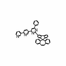 C1=Cc2ccccc2C2(c3ccccc31)c1ccccc1-c1cc(-c3nc(-c4ccccc4)cc(-c4ccc(-c5cccnc5)nc4)n3)ccc12